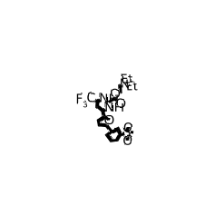 CCN(CC)CCOC(=O)CN/C(=C\C(=N)C(F)(F)F)c1ccc(-c2cccc(S(C)(=O)=O)c2)o1